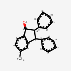 O=C1c2ccc(C(F)(F)F)cc2C(c2ccccc2)C1c1ccccc1